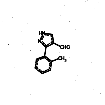 Cc1ccccc1-c1n[nH]cc1C=O